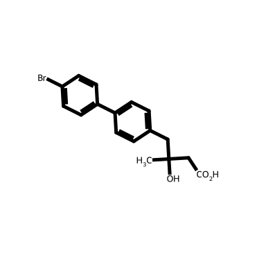 CC(O)(CC(=O)O)Cc1ccc(-c2ccc(Br)cc2)cc1